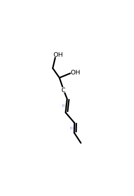 C/C=C/C=C/CC(O)CO